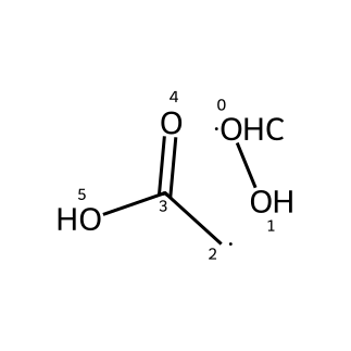 O=[C]O.[CH2]C(=O)O